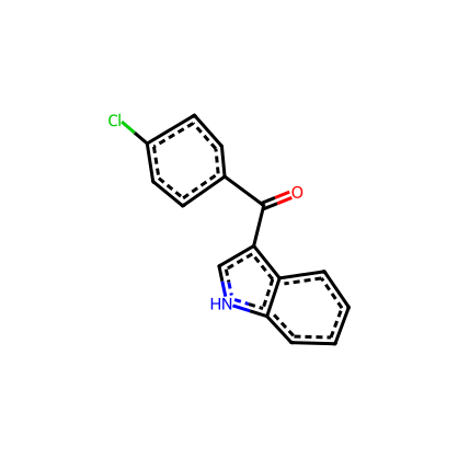 O=C(c1ccc(Cl)cc1)c1c[nH]c2ccccc12